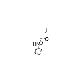 CCCC(=O)CONc1ccccc1